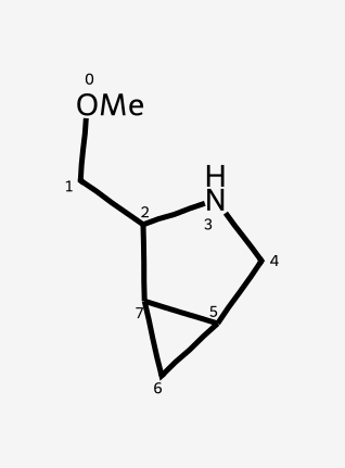 COCC1NCC2CC21